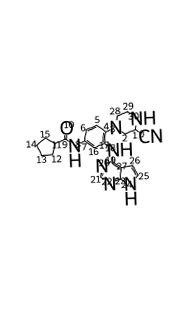 N#CC1CN(c2ccc(NC(=O)C3CCCC3)cc2Nc2ncnc3[nH]ccc23)CCN1